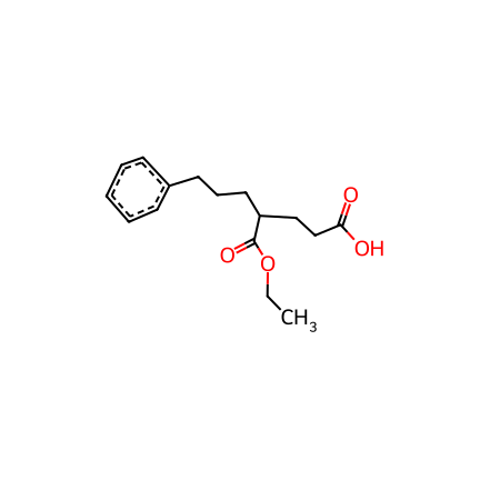 CCOC(=O)C(CCCc1ccccc1)CCC(=O)O